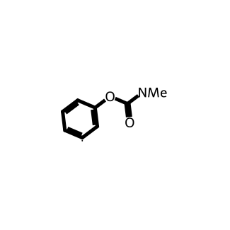 CNC(=O)Oc1c[c]ccc1